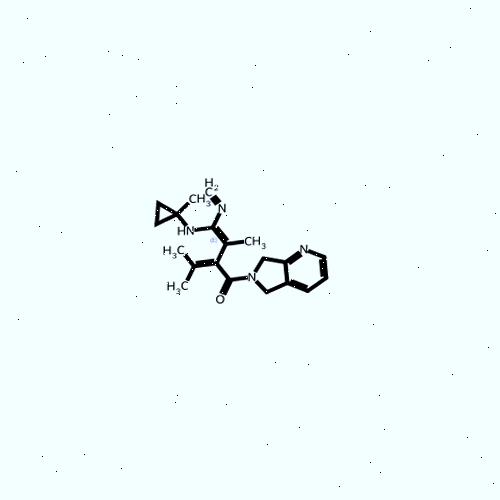 C=N/C(NC1(C)CC1)=C(\C)C(C(=O)N1Cc2cccnc2C1)=C(C)C